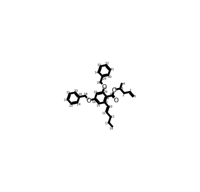 C=CCC(C)OC(=O)c1c(C=CCCC)cc(OCc2ccccc2)cc1OCc1ccccc1